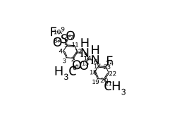 COc1ccc(S(=O)(=O)CF)cc1NC(=O)Nc1ccc(C)cc1F